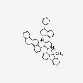 CC1(C)c2ccccc2-c2cccc(-c3cccc(N(c4ccc5ccc6ccccc6c5c4)c4ccc(-c5ccccc5)c5ccccc45)c3-c3ccccc3)c21